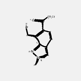 CCOC(=O)C(=O)c1ccc2cn(C)nc2c1CBr